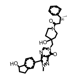 C[C@H](CC(=O)N1CCC(O)(Cn2cnc3c(-c4ccc5c(c4)CCC5O)n(C)nc3c2=O)CC1)c1ccccc1